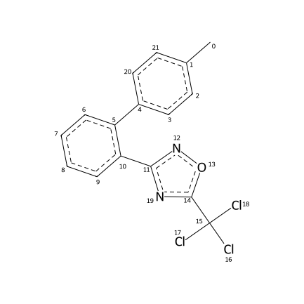 Cc1ccc(-c2ccccc2-c2noc(C(Cl)(Cl)Cl)n2)cc1